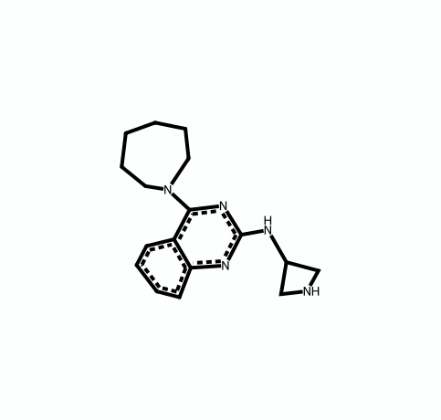 c1ccc2c(N3CCCCCC3)nc(NC3CNC3)nc2c1